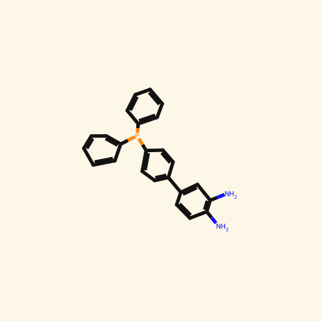 Nc1ccc(-c2ccc(P(c3ccccc3)c3ccccc3)cc2)cc1N